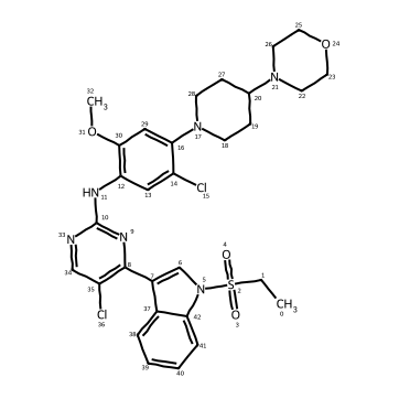 CCS(=O)(=O)n1cc(-c2nc(Nc3cc(Cl)c(N4CCC(N5CCOCC5)CC4)cc3OC)ncc2Cl)c2ccccc21